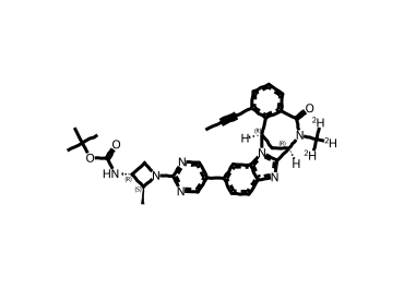 [2H]C([2H])([2H])N1C(=O)c2cccc(C#CC)c2[C@H]2C[C@@H]1c1nc3ccc(-c4cnc(N5C[C@@H](NC(=O)OC(C)(C)C)[C@@H]5C)nc4)cc3n12